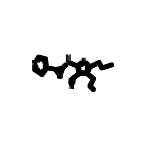 CCCc1sc(NC2OC2c2ccncc2)c(C#N)c1CCC